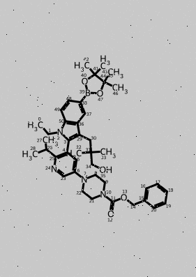 CCn1c(-c2cc(N3CCN(C(=O)OCc4ccccc4)CC3)cnc2C(C)C)c(CC(C)(C)CO)c2cc(B3OC(C)(C)C(C)(C)O3)ccc21